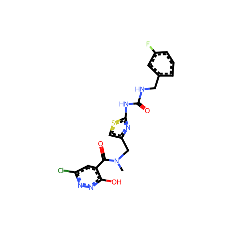 CN(Cc1csc(NC(=O)NCc2cccc(F)c2)n1)C(=O)c1cc(Cl)nnc1O